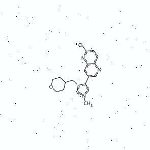 Cn1cc(-c2cnc3ccc(Cl)nc3c2)c(CC2CCOCC2)n1